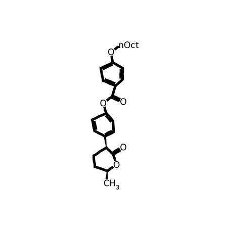 CCCCCCCCOc1ccc(C(=O)Oc2ccc([C@@H]3CC[C@H](C)OC3=O)cc2)cc1